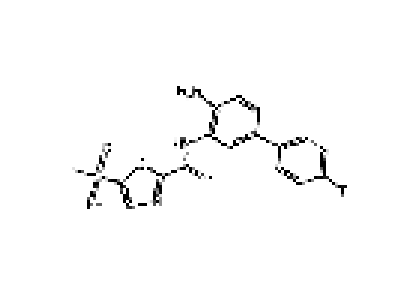 CS(=N)(=O)c1cnc(C(=O)Nc2cc(-c3ccc(F)cc3)ccc2N)s1